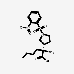 BC(CCCC)(C(=O)O)[C@H]1CCN(S(=O)(=O)c2ccccc2[N+](=O)[O-])C1